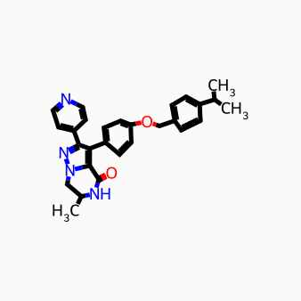 CC1Cn2nc(-c3ccncc3)c(-c3ccc(OCc4ccc(C(C)C)cc4)cc3)c2C(=O)N1